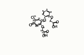 O=C(O)COc1ccccc1.O=C(O)COc1nc(Cl)c(Cl)cc1Cl